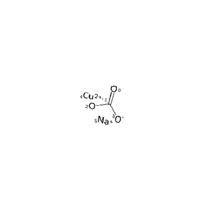 O=C([O-])[O-].[Cu+2].[Na+]